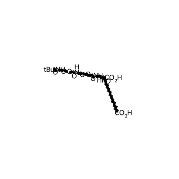 CC(C)(C)CC(=O)NCCOCCOCCC(=O)NCCOCCOCCC(=O)NCCCC[C@H](NC(=O)CCCCCCCCCCCCCCCCC(=O)O)C(=O)O